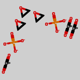 C1CO1.C1CO1.C1CO1.O=P([O-])([O-])[O-].O=P([O-])([O-])[O-].[O]=[U+2]=[O].[O]=[U+2]=[O].[O]=[U+2]=[O]